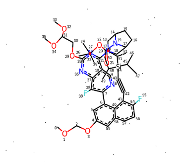 COCOc1cc(-c2ncc3c(N4CC5CCC(C4)N5C(=O)OC(C)(C)C)nc(OCC(OC)OC)nc3c2F)c2c(C#C[Si](C(C)C)(C(C)C)C(C)C)c(F)ccc2c1